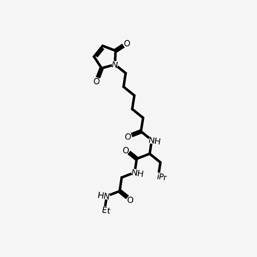 CCNC(=O)CNC(=O)C(CC(C)C)NC(=O)CCCCCN1C(=O)C=CC1=O